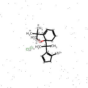 COC1(C(C)(C)C2=[C]([Ti+2])CC=C2)CC=CC=C1C(C)(C)C.[Cl-].[Cl-]